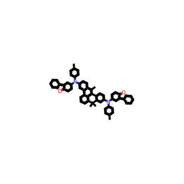 Cc1ccc(N(c2ccc3c(c2)C(C)(C)c2cccc4c2c-3c(C)c2ccc(N(c3ccc(C)cc3)c3ccc5oc6ccccc6c5c3)cc24)c2ccc3oc4ccccc4c3c2)cc1